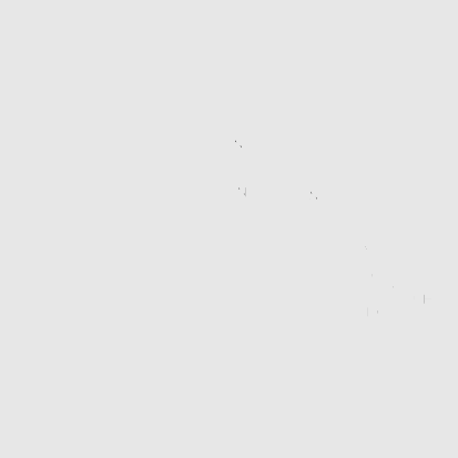 CC(C)(C)OC(=O)CCN1Cc2cnc(-c3ccc(OCc4ccccc4)cc3)nc2C1